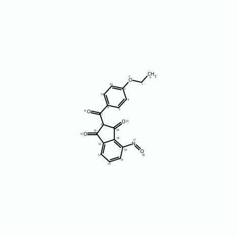 CCOc1ccc(C(=O)C2C(=O)c3cccc(N=O)c3C2=O)cc1